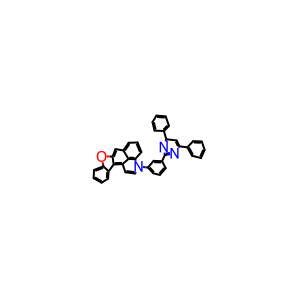 C1=CN(c2cccc(-c3nc(-c4ccccc4)cc(-c4ccccc4)n3)c2)c2cccc3cc4oc5ccccc5c4c1c23